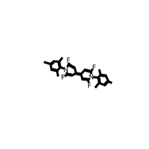 Cc1cc(C)c(N2C(F)=CC(=C3C=C(F)N(c4c(C)cc(C)cc4C)C(F)=C3)C=C2F)c(C)c1